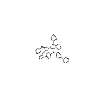 c1ccc(-c2ccc(N(c3ccc4c(c3)C3(c5ccccc5Oc5ccccc53)c3ccccc3-4)c3ccc(-c4ccccc4)c4ccccc34)cc2)cc1